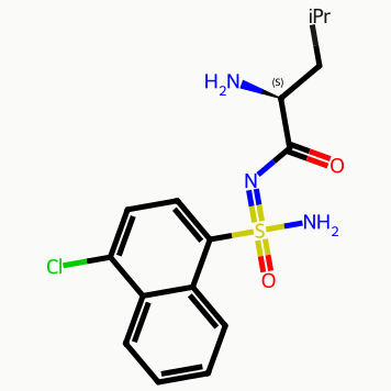 CC(C)C[C@H](N)C(=O)N=S(N)(=O)c1ccc(Cl)c2ccccc12